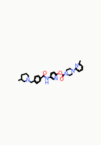 Cc1cccc(N2CCN(C(=O)Oc3ccc(NC(=O)c4ccc(CN5CCCC(C)C5)cc4)cn3)CC2)n1